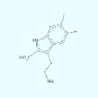 Cc1cc2c(CCN)c(C(=O)O)[nH]c2cc1F